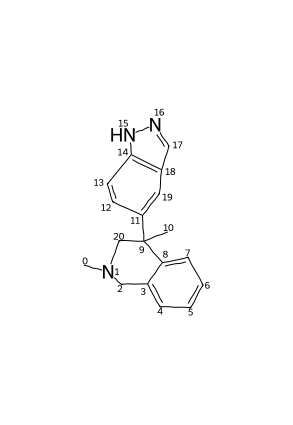 CN1Cc2ccccc2C(C)(c2ccc3[nH]ncc3c2)C1